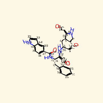 O=C=C[C@H](C[C@@H]1CCNC1=C=O)NC(=C=O)[C@H](Cc1ccccc1)NC(=O)c1ccc2[nH]ccc2c1